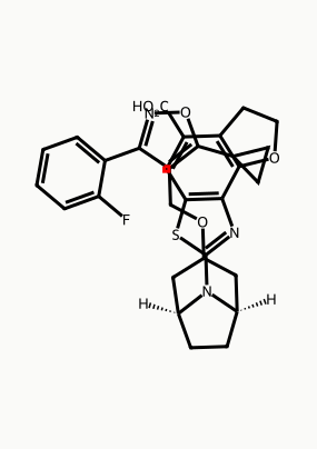 O=C(O)c1cc2sc(N3[C@@H]4CC[C@H]3CC(OCc3c(-c5ccccc5F)noc3C3CC3)C4)nc2c2c1CCO2